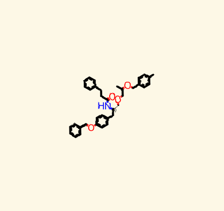 Cc1ccc(COC(C)COC[C@H](Cc2ccc(OCc3ccccc3)cc2)NC(=O)CCc2ccccc2)cc1